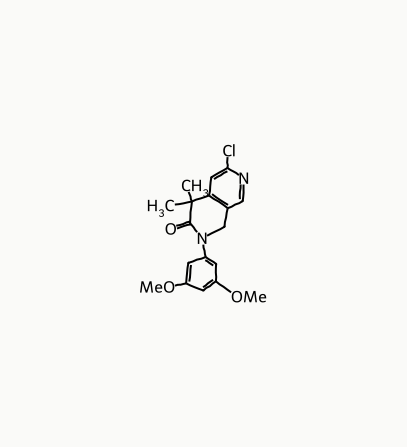 COc1cc(OC)cc(N2Cc3cnc(Cl)cc3C(C)(C)C2=O)c1